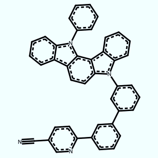 N#Cc1ccc(-c2cccc(-c3cccc(-n4c5ccccc5c5c4ccc4c6ccccc6n(-c6ccccc6)c45)c3)c2)nc1